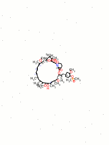 [2H]C1([2H])C[C@H]2C[C@H](OC)/C(C)=C/C=C/C=C/[C@@H](C)C[C@@H](C)C(=C)[C@H](OC)[C@H](O)/C(C)=C/[C@@H](C)C(=O)C[C@@H]([C@H](C)C[C@@H]3CC[C@@H](OP(C)(C)=O)[C@H](OC)C3)OC(=O)[C@@H]3CCCCN3C(=O)C(=O)[C@](O)(O2)[C@@H]1C